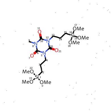 CO[Si](CCCn1c(=O)n(C)c(=O)n(CCC[Si](OC)(OC)OC)c1=O)(OC)OC